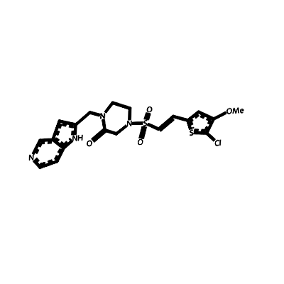 COc1cc(C=CS(=O)(=O)N2CCN(Cc3cc4cnccc4[nH]3)C(=O)C2)sc1Cl